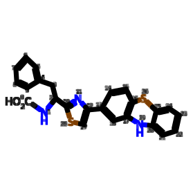 O=C(O)NC(Cc1ccccc1)c1nc(-c2ccc3c(c2)Nc2ccccc2S3)cs1